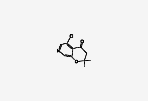 CC1(C)CC(=O)c2c(Cl)cncc2O1